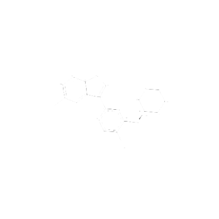 Fc1cnc(C2=CNC3NC=C(Cl)C=C23)nc1N[C@@H]1CCCNC1